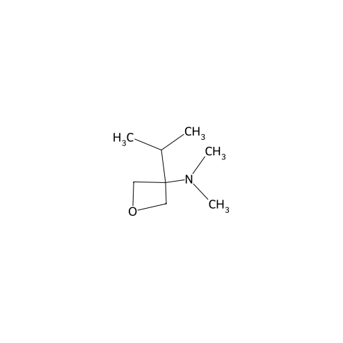 CC(C)C1(N(C)C)COC1